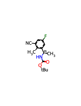 Cc1c(C#N)cc(F)cc1[C@@H](C)NC(=O)OC(C)(C)C